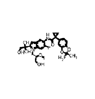 CC1(P)Oc2ccc(C3(C(=O)Nc4cc5cc(C(C)(C)CO)n(C[C@H](CO)OI)c5cc4F)CC3)cc2O1